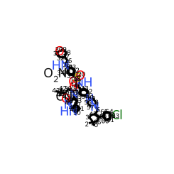 CC1(C)CCC(CN2CCN(c3ccc(C(=O)NS(=O)(=O)c4ccc(NCC5CCOCC5)c([N+](=O)[O-])c4)c(N4CCC(C(C)(C)C#N)Oc5nc6[nH]ccc6cc54)c3)CC2)=C(c2ccc(Cl)cc2)C1